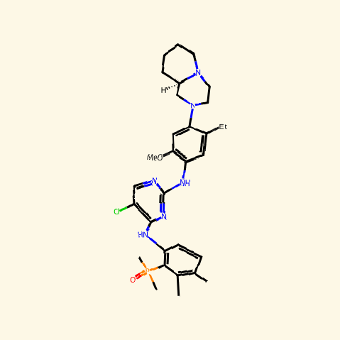 CCc1cc(Nc2ncc(Cl)c(Nc3ccc(C)c(C)c3P(C)(C)=O)n2)c(OC)cc1N1CCN2CCCC[C@@H]2C1